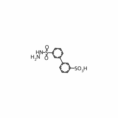 NNS(=O)(=O)c1cccc(-c2cccc(S(=O)(=O)O)c2)c1